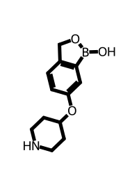 OB1OCc2ccc(OC3CCNCC3)cc21